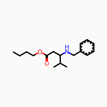 CCCCOC(=O)CC(NCc1ccccc1)C(C)C